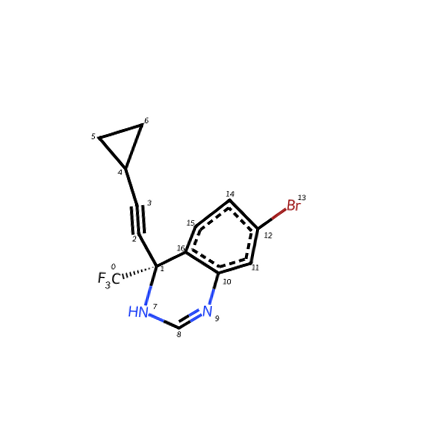 FC(F)(F)[C@@]1(C#CC2CC2)NC=Nc2cc(Br)ccc21